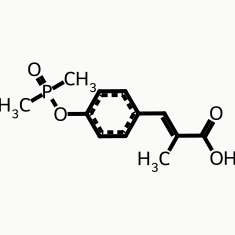 C/C(=C\c1ccc(OP(C)(C)=O)cc1)C(=O)O